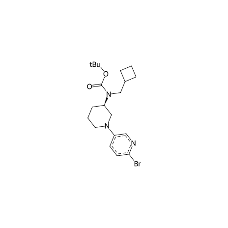 CC(C)(C)OC(=O)N(CC1CCC1)[C@@H]1CCCN(c2ccc(Br)nc2)C1